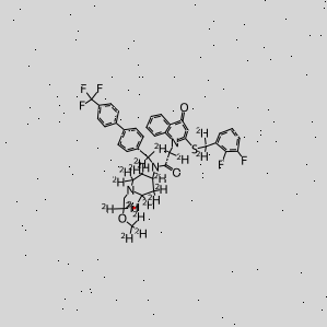 [2H]C([2H])([2H])OC([2H])([2H])CN1C([2H])([2H])C([2H])([2H])C([2H])(N(C(=O)C([2H])([2H])n2c(SC([2H])([2H])c3cccc(F)c3F)cc(=O)c3ccccc32)C([2H])(C)c2ccc(-c3ccc(C(F)(F)F)cc3)cc2)C([2H])([2H])C1([2H])[2H]